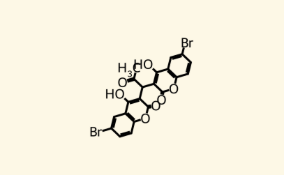 CC(=O)C(c1c(O)c2cc(Br)ccc2oc1=O)c1c(O)c2cc(Br)ccc2oc1=O